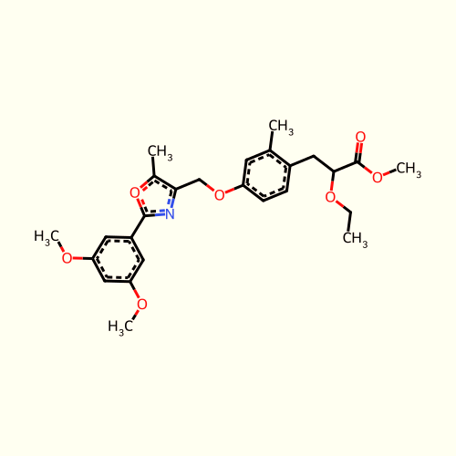 CCOC(Cc1ccc(OCc2nc(-c3cc(OC)cc(OC)c3)oc2C)cc1C)C(=O)OC